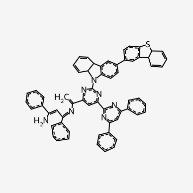 C=C(/N=C(\C=C(/N)c1ccccc1)c1ccccc1)c1cc(-c2nc(-c3ccccc3)cc(-c3ccccc3)n2)nc(N2c3ccc(-c4ccc5c(c4)C4C=CC=CC4S5)cc3C3C=CC=CC32)n1